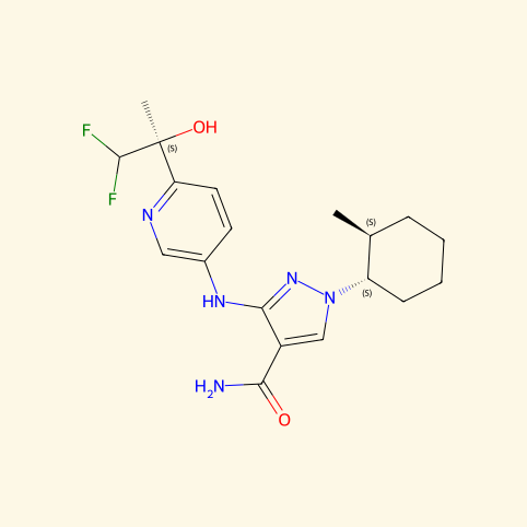 C[C@H]1CCCC[C@@H]1n1cc(C(N)=O)c(Nc2ccc([C@](C)(O)C(F)F)nc2)n1